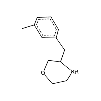 Cc1cccc(CC2COCCN2)c1